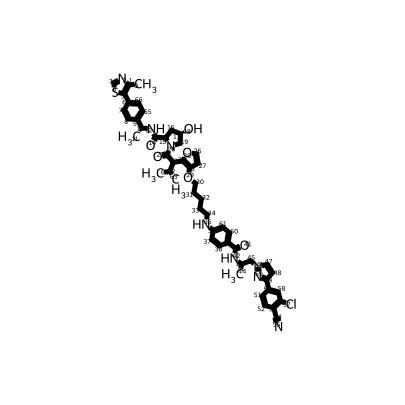 Cc1ncsc1-c1ccc([C@H](C)NC(=O)C2C[C@@H](O)CN2C(=O)C(c2occc2OCCCCCNc2ccc(C(=O)NC(C)Cn3ccc(-c4ccc(C#N)c(Cl)c4)n3)cc2)C(C)C)cc1